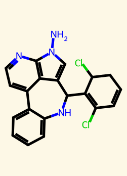 Nn1cc2c3c(ccnc31)-c1ccccc1NC2C1=C(Cl)C=CCC1Cl